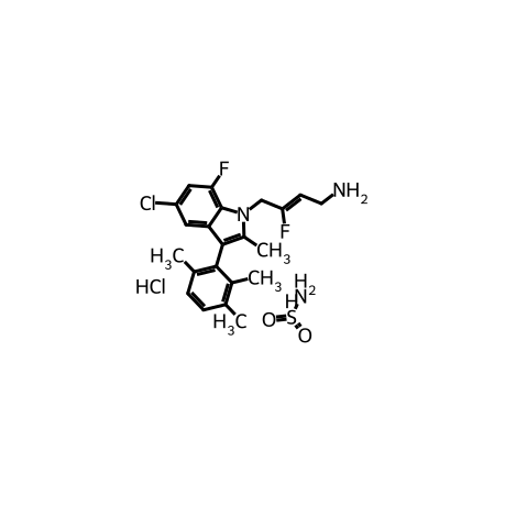 Cc1ccc(C)c(-c2c(C)n(CC(F)=CCN)c3c(F)cc(Cl)cc23)c1C.Cl.N[SH](=O)=O